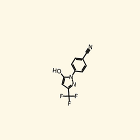 N#Cc1ccc(-n2nc(C(F)(F)F)cc2O)cc1